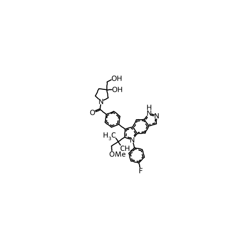 COCC(C)(C)c1c(-c2ccc(C(=O)N3CCC(O)(CO)C3)cc2)c2cc3[nH]ncc3cc2n1-c1ccc(F)cc1